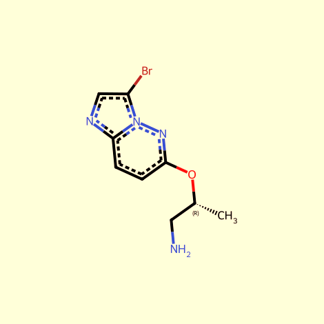 C[C@H](CN)Oc1ccc2ncc(Br)n2n1